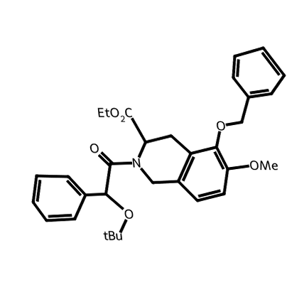 CCOC(=O)C1Cc2c(ccc(OC)c2OCc2ccccc2)CN1C(=O)C(OC(C)(C)C)c1ccccc1